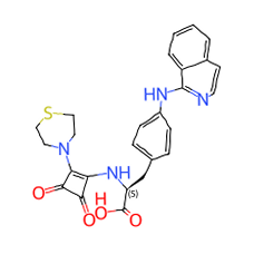 O=C(O)[C@H](Cc1ccc(Nc2nccc3ccccc23)cc1)Nc1c(N2CCSCC2)c(=O)c1=O